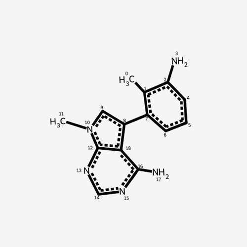 Cc1c(N)cccc1-c1cn(C)c2ncnc(N)c12